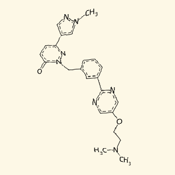 CN(C)CCOc1cnc(-c2cccc(Cn3nc(-c4cnn(C)c4)ccc3=O)c2)nc1